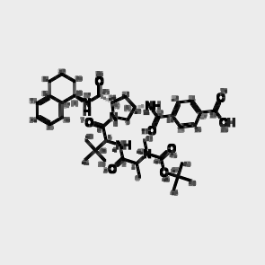 CC(C(=O)NC(C(=O)N1C[C@@H](NC(=O)c2ccc(C(=O)O)cc2)C[C@H]1C(=O)N[C@@H]1CCCc2ccccc21)C(C)(C)C)N(C)C(=O)OC(C)(C)C